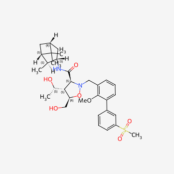 COc1c(CN2O[C@@H](CO)[C@H]([C@H](C)O)[C@H]2C(=O)N[C@H]2C[C@H]3C[C@@H]([C@@H]2C)C3(C)C)cccc1-c1cccc(S(C)(=O)=O)c1